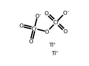 [O]=[Cr](=[O])([O-])[O][Cr](=[O])(=[O])[O-].[Tl+].[Tl+]